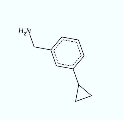 NCc1cc[c]c(C2CC2)c1